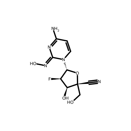 N#C[C@]1(CO)O[C@@H](n2ccc(N)n/c2=N\O)[C@H](F)[C@@H]1O